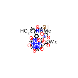 CN/C(=C\S)C(=O)N[C@@H](Cc1ccc(O)c(NC(=O)[C@H](C)NC(=O)[C@H](C)NC(=O)[C@H](C)NC(=O)[C@H](CCC(=O)OC)NC(=O)CCCN2C(=O)C=CC2=O)c1)C[C@H](C)C(=O)O